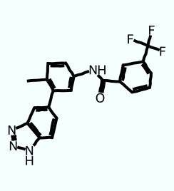 Cc1ccc(NC(=O)c2cccc(C(F)(F)F)c2)cc1-c1ccc2[nH]nnc2c1